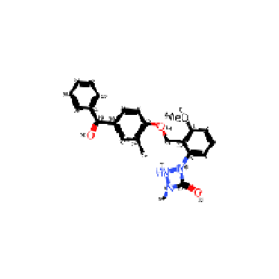 COc1cccc(-n2[nH]n(C)c2=O)c1COc1ccc(C(=O)c2ccccc2)cc1C